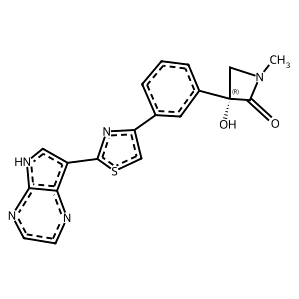 CN1C[C@](O)(c2cccc(-c3csc(-c4c[nH]c5nccnc45)n3)c2)C1=O